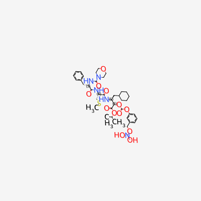 CSC[C@H](NC(=O)[C@H](Cc1ccccc1)NC(=O)N1CCOCC1)C(=O)N[C@@H](CC1CCCCC1)[C@H](OC(=O)Oc1cccc(CON(O)O)c1)C(=O)OC(C)C